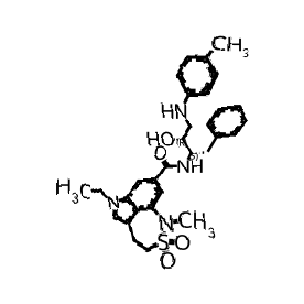 CCn1cc2c3c(cc(C(=O)N[C@@H](Cc4ccccc4)[C@H](O)CNc4ccc(C)cc4)cc31)N(C)S(=O)(=O)CC2